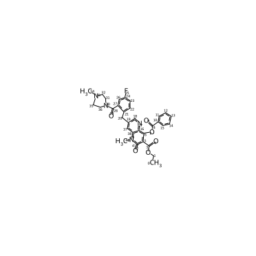 CCOC(=O)c1c(OC(=O)c2ccccc2)c2ncc(Cc3ccc(F)cc3C(=O)N3CCN(C)CC3)cc2n(C)c1=O